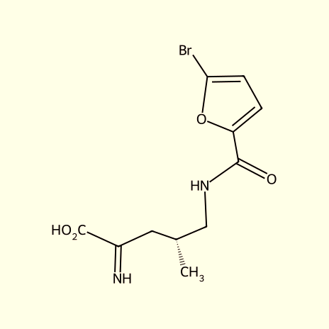 C[C@@H](CNC(=O)c1ccc(Br)o1)CC(=N)C(=O)O